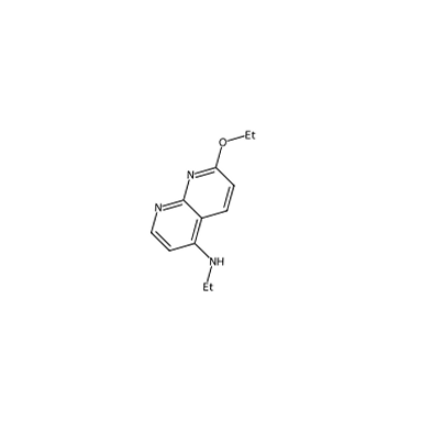 CCNc1ccnc2nc(OCC)ccc12